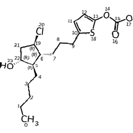 CCCCC[C@@H]1[C@@H](CCCc2ccc(OC(=O)O)s2)[C@H](Cl)C[C@H]1O